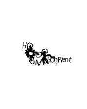 CCCCCC=CCC(CC(=O)O)C(=O)OCC1(C)CC(C)(COC)C(C)(C)C(C)(C)C1(C)CO